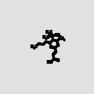 CCCCOC(C(C)OC(=O)/C=C/C(=O)O)C(C)(C)C